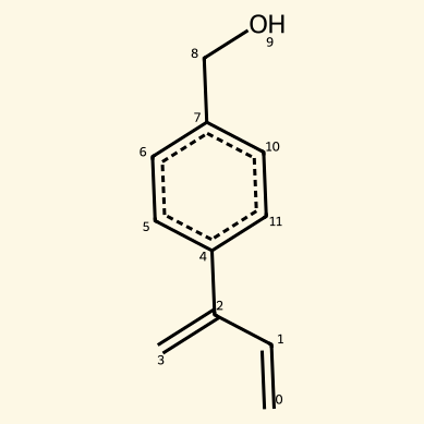 C=CC(=C)c1ccc(CO)cc1